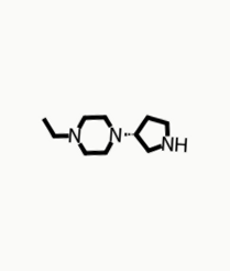 CCN1CCN([C@@H]2CCNC2)CC1